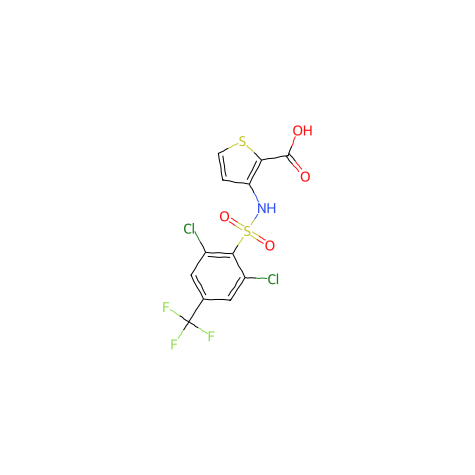 O=C(O)c1sccc1NS(=O)(=O)c1c(Cl)cc(C(F)(F)F)cc1Cl